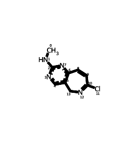 CNc1ncc2c(n1)C=CC(Cl)=NC2